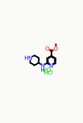 COC(=O)c1ccnc(NC2CCNCC2)c1.Cl.Cl